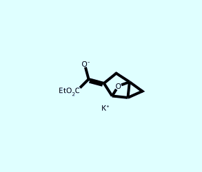 CCOC(=O)C([O-])=C1CC23CC2C1O3.[K+]